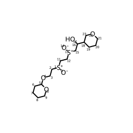 [O-][S+](CCOC1CCCCO1)CC[S+]([O-])CC(O)C1CCCOC1